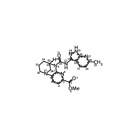 COC(=O)c1ccc2c(n1)N(C(=O)Nc1n[nH]c3nc(C)ccc13)[C@H]1CCCN2C1